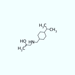 C=C(O)CNCC1CCC(C(C)C)CC1